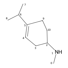 CNC1CC=C(C(C)C)CC1